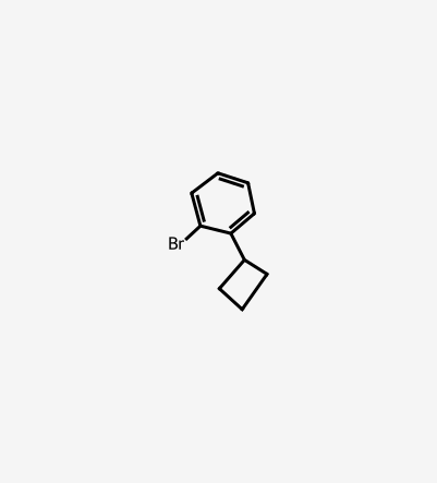 Brc1ccccc1C1CCC1